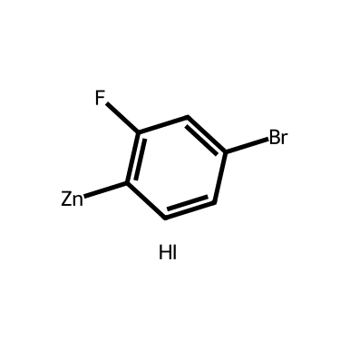 Fc1cc(Br)cc[c]1[Zn].I